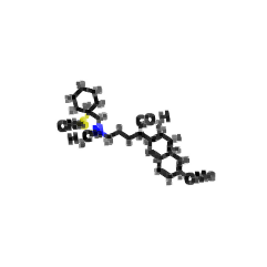 COc1ccc2cc([C@H](CCCN(C)CC3(SN=O)CCCCC3)C(=O)O)ccc2c1